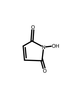 O=C1C=CC(=O)N1O